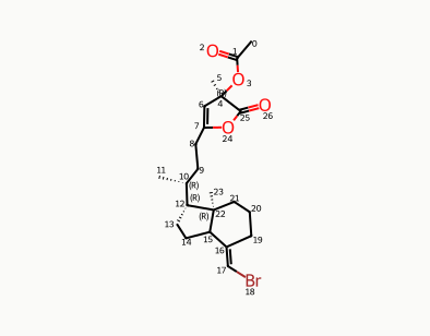 CC(=O)O[C@]1(C)C=C(CC[C@@H](C)[C@H]2CCC3C(=CBr)CCC[C@@]32C)OC1=O